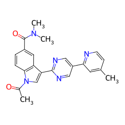 CC(=O)n1cc(-c2ncc(-c3cc(C)ccn3)cn2)c2cc(C(=O)N(C)C)ccc21